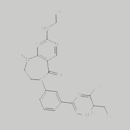 CCNc1ncc2c(n1)N(C)CCN(c1cccc(C(=N/C)/N=C(/C)C(C)CC)c1)C2=O